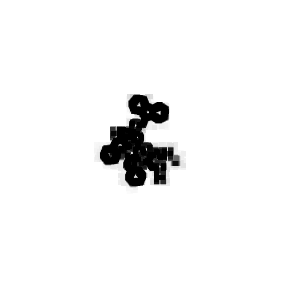 NC(=O)C(CO)NC(=O)C(Cc1ccccc1)NC(=O)C(Cc1ccccc1)NC(=O)OCC1c2ccccc2-c2ccccc21